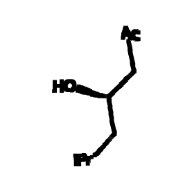 CC(=O)C[C@H](O)CC(C)C